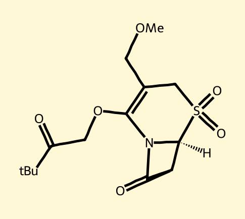 COCC1=C(OCC(=O)C(C)(C)C)N2C(=O)C[C@@H]2S(=O)(=O)C1